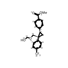 COC(=O)c1ccc([C@H]2C[C@]2(COCO)c2ccc(C(F)(F)F)cc2)cc1